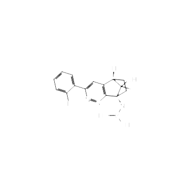 CB(O)N[C@@]12CC[C@@H](c3cc(-c4ccccc4F)nnc31)C2(C)C